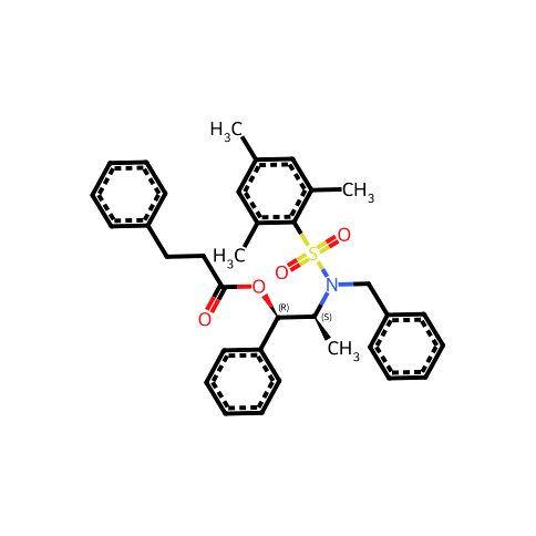 Cc1cc(C)c(S(=O)(=O)N(Cc2ccccc2)[C@@H](C)[C@H](OC(=O)CCc2ccccc2)c2ccccc2)c(C)c1